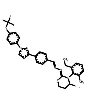 CCc1cccc(C)c1N1/C(=N/N=C/c2ccc(-c3ncn(-c4ccc(OC(F)(F)F)cc4)n3)cc2)SCCC1C